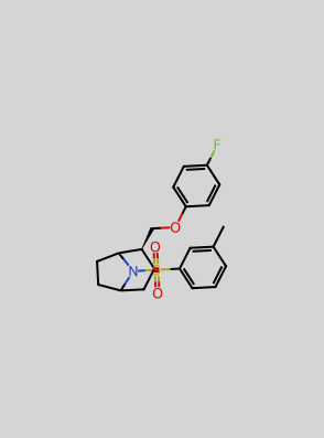 Cc1cccc(S(=O)(=O)N2C3CCC2[C@@H](COc2ccc(F)cc2)CC3)c1